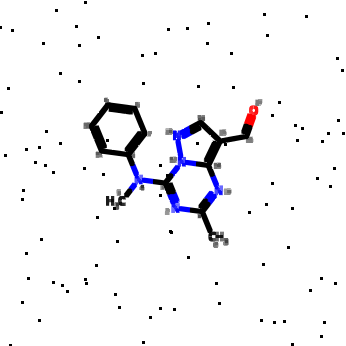 Cc1nc(N(C)c2ccccc2)n2ncc(C=O)c2n1